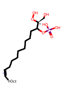 CCCCCCCC/C=C\CCCCCCCCC(OP(=O)(O)O)[C@H](CO)OO